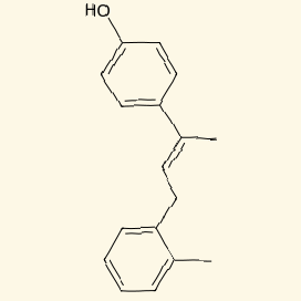 C/C(=C\Cc1ccccc1C)c1ccc(O)cc1